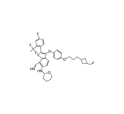 CC(F)(F)c1cc(F)ccc1-c1sc2c(C=N)c(NC3CCCCO3)ccc2c1Oc1ccc(OCCCC2CC(CF)C2)cc1